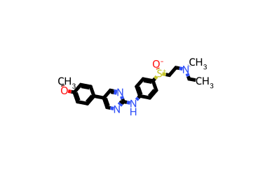 CCN(C)CC[S+]([O-])c1ccc(Nc2ncc(-c3ccc(OC)cc3)cn2)cc1